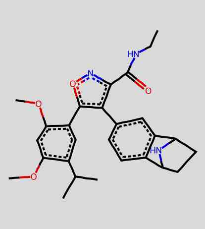 CCNC(=O)c1noc(-c2cc(C(C)C)c(OC)cc2OC)c1-c1ccc2c(c1)C1CCC2N1